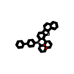 c1ccc(-c2ccc(N(c3ccccc3)c3ccc4c(oc5c6ccccc6ccc45)c3-c3ccccc3)cc2)cc1